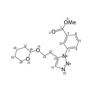 COC(=O)c1cccc(-n2nncc2CCOC2CCCCO2)c1